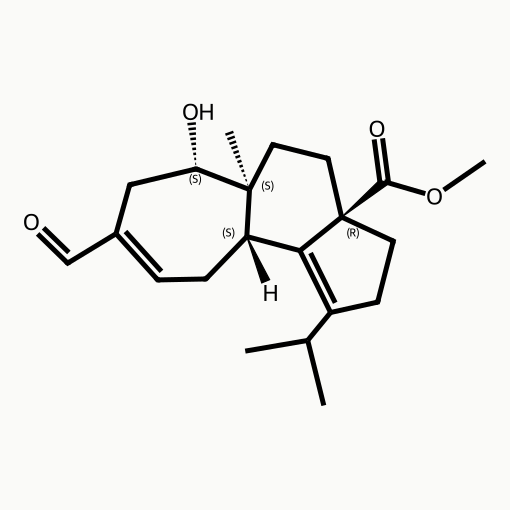 COC(=O)[C@@]12CCC(C(C)C)=C1[C@@H]1CC=C(C=O)C[C@H](O)[C@@]1(C)CC2